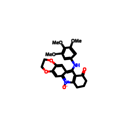 COc1cc(Nc2c3c([n+]([O-])c4cc5c(cc24)OCCO5)CCCC3=O)cc(OC)c1OC